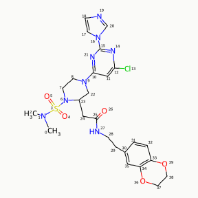 CN(C)S(=O)(=O)N1CCN(c2cc(Cl)nc(-n3ccnc3)n2)CC1CC(=O)NCCc1ccc2c(c1)OCCO2